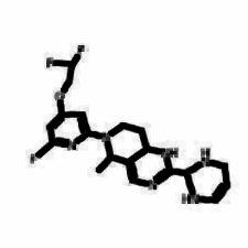 CC1C2=CN=C(C3NC=CCN3)NC2CCN1c1cc(OCC(F)F)cc(F)n1